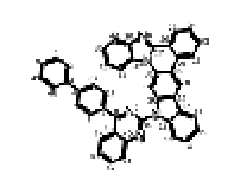 c1ccc(-c2ccc(-c3nc(-n4c5ccccc5c5cc6c7ccccc7c7nc8ccccc8n7c6cc54)nc4ccccc34)cc2)cc1